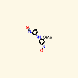 COc1cc(N=C=O)ccc1/N=N/c1cccc(N=C=O)c1